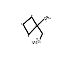 CNCC1(C(C)(C)C)CCC1